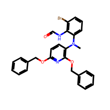 CN(c1ccc(OCc2ccccc2)nc1OCc1ccccc1)c1cccc(Br)c1NC=O